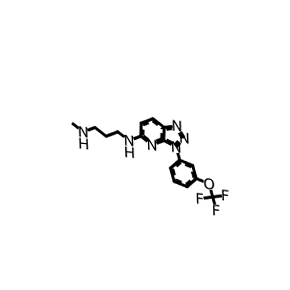 CNCCCNc1ccc2nnn(-c3cccc(OC(F)(F)F)c3)c2n1